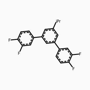 CC(C)c1cc(-c2ccc(F)c(F)c2)cc(-c2ccc(F)c(F)c2)c1